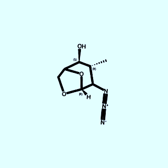 C[C@@H]1C(N=[N+]=[N-])[C@@H]2OCC(O2)[C@H]1O